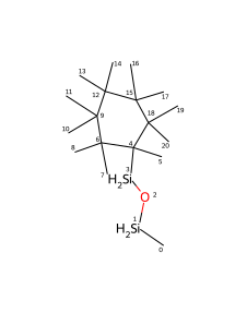 C[SiH2]O[SiH2]C1(C)C(C)(C)C(C)(C)C(C)(C)C(C)(C)C1(C)C